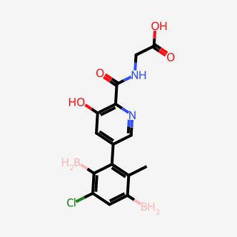 Bc1cc(Cl)c(B)c(-c2cnc(C(=O)NCC(=O)O)c(O)c2)c1C